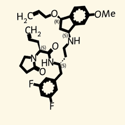 C=CCO[C@@H]1C[C@H](NCC[C@H](Cc2cc(F)cc(F)c2)NC(=O)[C@H](CC=C)N2CCCC2=O)c2cc(OC)ccc21